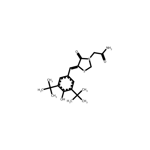 CC(C)(C)c1cc(/C=C2\SCN(CC(N)=O)C2=O)cc(C(C)(C)C)c1O